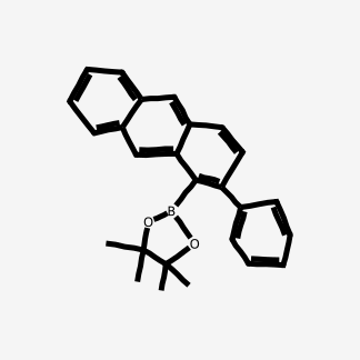 CC1(C)OB(c2c(-c3ccccc3)ccc3cc4ccccc4cc23)OC1(C)C